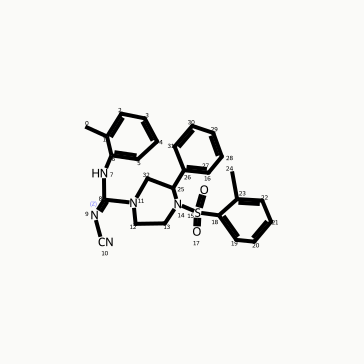 Cc1ccccc1N/C(=N/C#N)N1CCN(S(=O)(=O)c2ccccc2C)C(c2ccccc2)C1